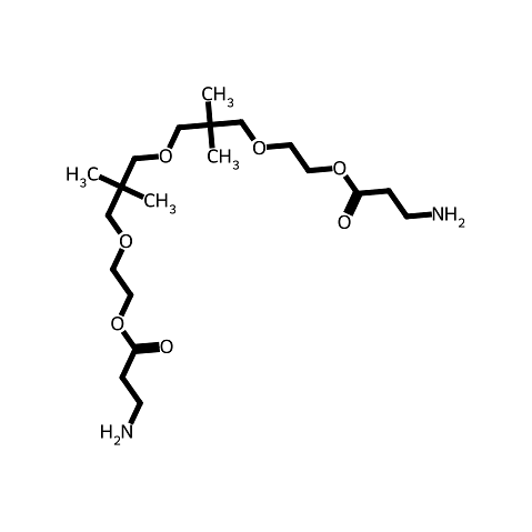 CC(C)(COCCOC(=O)CCN)COCC(C)(C)COCCOC(=O)CCN